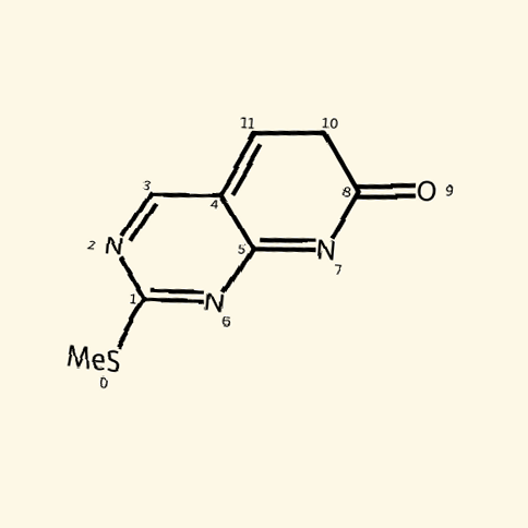 CSc1ncc2c(n1)=NC(=O)CC=2